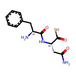 NC(=O)C[C@H](NC(=O)[C@@H](N)Cc1ccccc1)C(=O)S